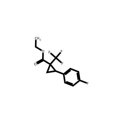 CCOC(=O)C1(C(F)(F)F)CC1c1ccc(F)cc1